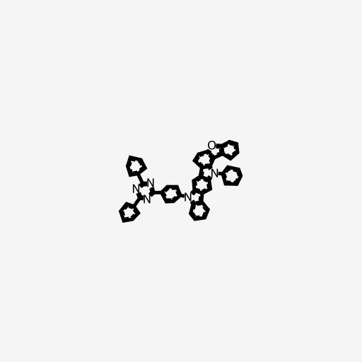 c1ccc(-c2nc(-c3ccccc3)nc(-c3ccc(-n4c5ccccc5c5cc6c(cc54)c4ccc5oc7ccccc7c5c4n6-c4ccccc4)cc3)n2)cc1